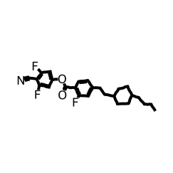 CCCCC1CCC(CCc2ccc(C(=O)Oc3cc(F)c(C#N)c(F)c3)c(F)c2)CC1